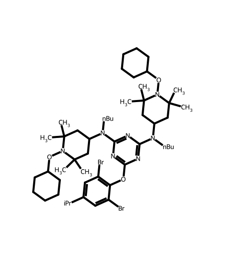 CCCCN(c1nc(Oc2c(Br)cc(C(C)C)cc2Br)nc(N(CCCC)C2CC(C)(C)N(OC3CCCCC3)C(C)(C)C2)n1)C1CC(C)(C)N(OC2CCCCC2)C(C)(C)C1